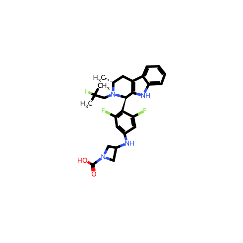 C[C@@H]1Cc2c([nH]c3ccccc23)[C@@H](c2c(F)cc(NC3CN(C(=O)O)C3)cc2F)N1CC(C)(C)F